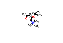 CC(=O)C[C@@H](C[N+](C)(C)C)OC(C)(C)C